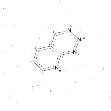 [c]1ccc2cnnnc2n1